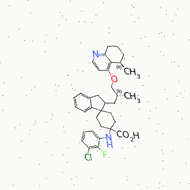 C[C@@H](COc1ccnc2c1[C@H](C)CCC2)CC1Cc2ccccc2C12CCC(Nc1cccc(Cl)c1F)(C(=O)O)CC2